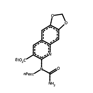 CCCCCN(C(N)=O)c1nc2cc3c(cc2cc1C(=O)OCC)OCO3